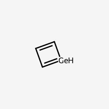 C1=[CH][GeH]=[CH]1